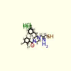 Cc1cccc(C(=O)N2CCN(C[C@@H](N)CS)C(Cc3ccccc3)C2)c1C.Cl.Cl